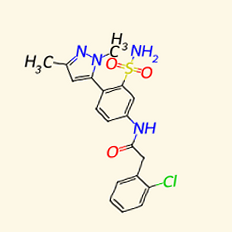 Cc1cc(-c2ccc(NC(=O)Cc3ccccc3Cl)cc2S(N)(=O)=O)n(C)n1